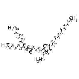 CCCCCCCCCCCCCCCCN(CCCN)C(=O)CCCCC(=O)OCC(CCCCCC)CCCCCCCC